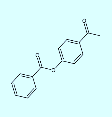 CC(=O)c1ccc(OC(=O)c2ccccc2)cc1